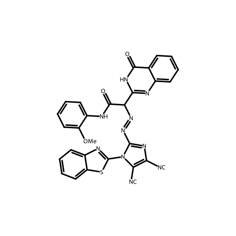 [C-]#[N+]c1nc(N=NC(C(=O)Nc2ccccc2OC)c2nc3ccccc3c(=O)[nH]2)n(-c2nc3ccccc3s2)c1[N+]#[C-]